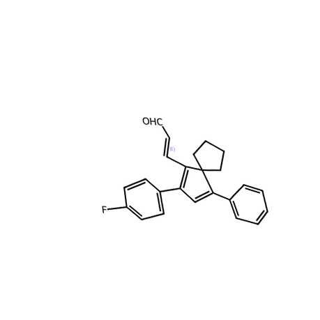 O=C/C=C/C1=C(c2ccc(F)cc2)C=C(c2ccccc2)C12CCCC2